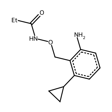 CCC(=O)NOCc1c(N)cccc1C1CC1